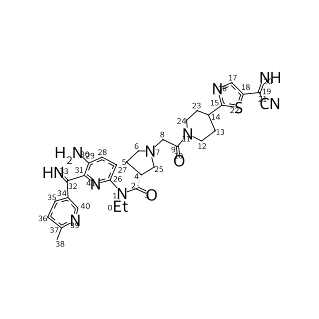 CCN(C(=O)[C@@H]1CCN(CC(=O)N2CCC(c3ncc(C(=N)C#N)s3)CC2)C1)c1ccc(N)c(C(=N)c2ccc(C)nc2)n1